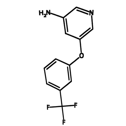 Nc1cncc(Oc2cccc(C(F)(F)F)c2)c1